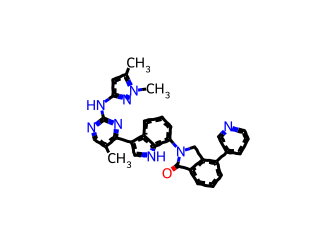 Cc1cnc(Nc2cc(C)n(C)n2)nc1-c1c[nH]c2c(N3Cc4c(cccc4-c4cccnc4)C3=O)cccc12